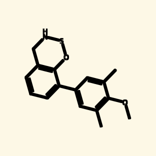 COc1c(C)cc(-c2cccc3c2OSNC3)cc1C